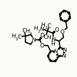 CC1(C)CCN(C(=O)OCc2cccc3nnc(C(COCc4ccccc4)NC(=O)C(C)(C)N)n23)C1